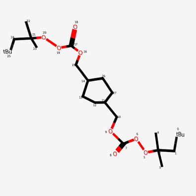 CC(C)(C)CC(C)(C)OOC(=O)OCC1CCC(COC(=O)OOC(C)(C)CC(C)(C)C)CC1